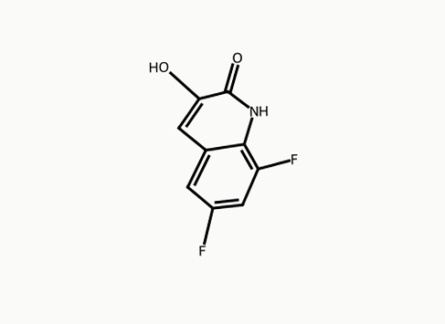 O=c1[nH]c2c(F)cc(F)cc2cc1O